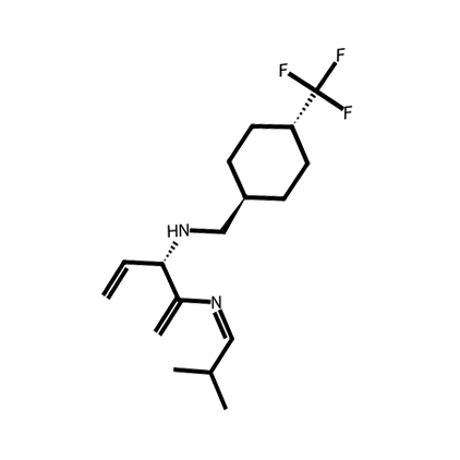 C=C[C@H](NC[C@H]1CC[C@H](C(F)(F)F)CC1)C(=C)/N=C\C(C)C